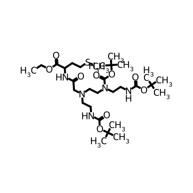 CCOC(=O)C(CCSC)NC(=O)CN(CCNC(=O)OC(C)(C)C)CCN(CCNC(=O)OC(C)(C)C)C(=O)OC(C)(C)C